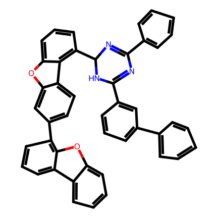 c1ccc(C2=NC(c3cccc4oc5cc(-c6cccc7c6oc6ccccc67)ccc5c34)NC(c3cccc(-c4ccccc4)c3)=N2)cc1